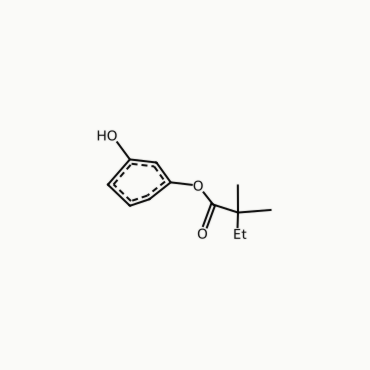 CCC(C)(C)C(=O)Oc1cccc(O)c1